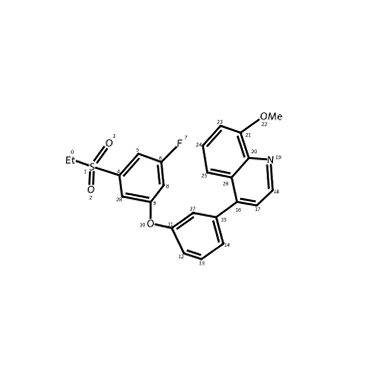 CCS(=O)(=O)c1cc(F)cc(Oc2cccc(-c3ccnc4c(OC)cccc34)c2)c1